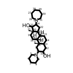 C[C@]12CC(N3CCCCC3)C(O)CC1CC[C@@H]1[C@H]2CC[C@]2(C)C(O)C(N3CCCCCC3)C[C@@H]12